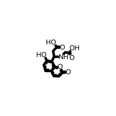 O=C(O)CNC(CC(=O)O)c1c(O)ccc2ccc(=O)oc12